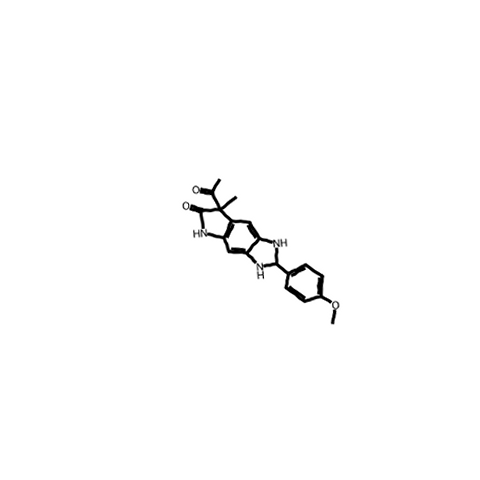 COc1ccc(C2Nc3cc4c(cc3N2)C(C)(C(C)=O)C(=O)N4)cc1